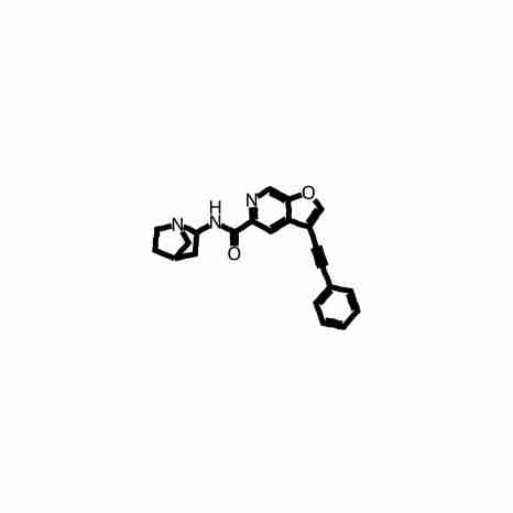 O=C(NC1CC2CCN1C2)c1cc2c(C#Cc3ccccc3)coc2cn1